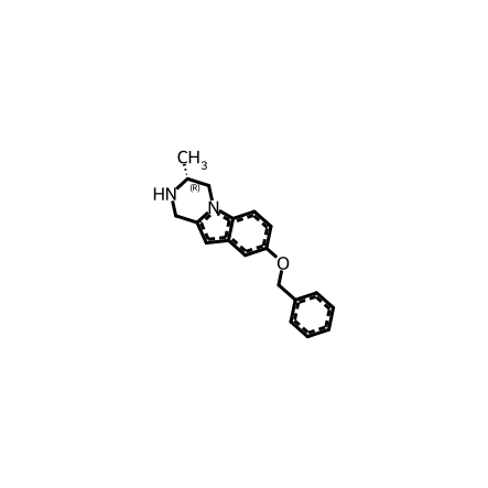 C[C@@H]1Cn2c(cc3cc(OCc4ccccc4)ccc32)CN1